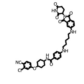 N#Cc1ccc(OC2CCC(NC(=O)c3ccc(NCCCCCNc4ccc5c(c4)C(=O)N(C4CCC(=O)NC4=O)C5=O)cc3)CC2)cc1Cl